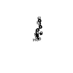 O=C(O)c1cc2c(nc(CN3CC=C(c4cccc(OCc5ccc(Cl)cc5F)c4)CC3)n2C[C@@H]2CCO2)o1